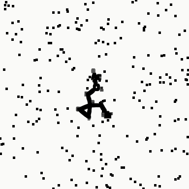 CC(=O)OCC1(CBr)CC1